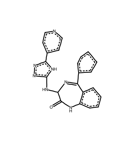 O=C1Nc2ccccc2C(c2ccccc2)=NC1Nc1nnc(-c2ccncc2)[nH]1